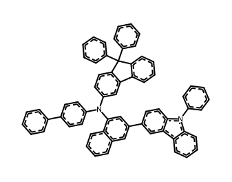 c1ccc(-c2ccc(N(c3ccc4c(c3)-c3ccccc3C4(c3ccccc3)c3ccccc3)c3cc(-c4ccc5c(c4)c4ccccc4n5-c4ccccc4)cc4ccccc34)cc2)cc1